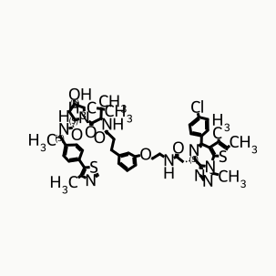 Cc1ncsc1-c1ccc([C@H](C)NC(=O)[C@@H]2C[C@@H](O)CN2C(=O)C(NC(=O)CCc2cccc(OCCNC(=O)C[C@@H]3N=C(c4ccc(Cl)cc4)c4c(sc(C)c4C)-n4c(C)nnc43)c2)C(C)(C)C)cc1